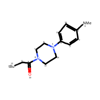 CNc1ccc(N2CCN(C(=O)CC(C)(C)C)CC2)cc1